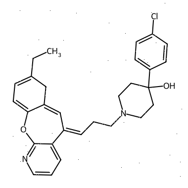 CCC1=CC=C2Oc3ncccc3C(=CCCN3CCC(O)(c4ccc(Cl)cc4)CC3)C=C2C1